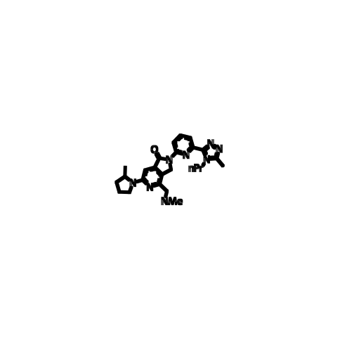 CCCn1c(C)nnc1-c1cccc(N2Cc3c(cc(N4CCCC4C)nc3CNC)C2=O)n1